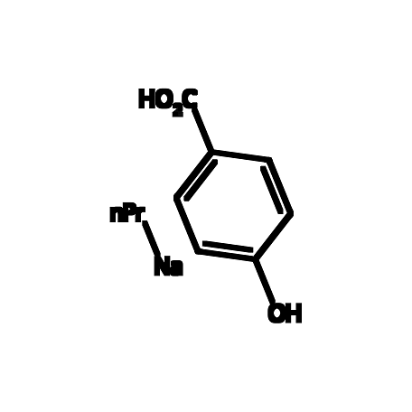 CC[CH2][Na].O=C(O)c1ccc(O)cc1